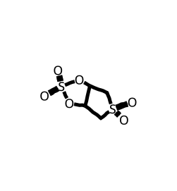 O=S1(=O)CC2OS(=O)(=O)OC2C1